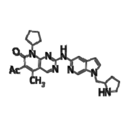 CC(=O)c1c(C)c2cnc(Nc3cc4ccn(CC5CCCN5)c4cn3)nc2n(C2CCCC2)c1=O